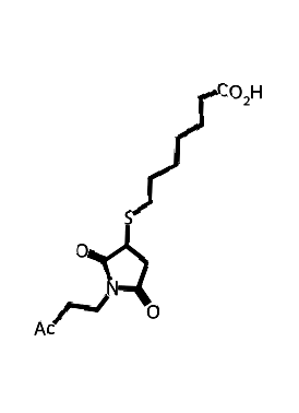 CC(=O)CCN1C(=O)CC(SCCCCCCC(=O)O)C1=O